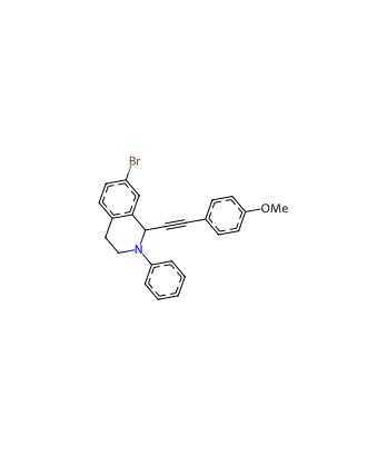 COc1ccc(C#CC2c3cc(Br)ccc3CCN2c2ccccc2)cc1